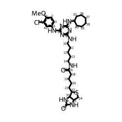 COc1ccc(Nc2nc(NCCCCCNC(=O)CCCCC3SCC4NC(=O)NC43)nc(NC3CCCCCC3)n2)cc1Cl